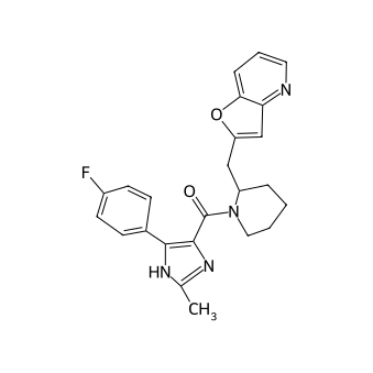 Cc1nc(C(=O)N2CCCCC2Cc2cc3ncccc3o2)c(-c2ccc(F)cc2)[nH]1